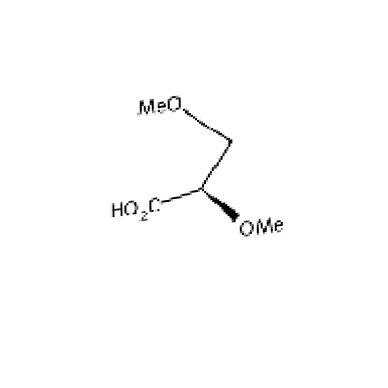 COC[C@@H](OC)C(=O)O